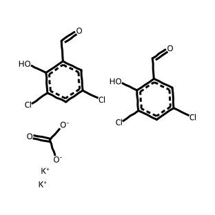 O=C([O-])[O-].O=Cc1cc(Cl)cc(Cl)c1O.O=Cc1cc(Cl)cc(Cl)c1O.[K+].[K+]